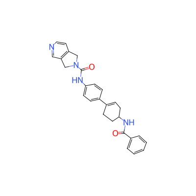 O=C(NC1CC=C(c2ccc(NC(=O)N3Cc4ccncc4C3)cc2)CC1)c1ccccc1